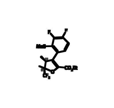 CCOC(=O)C1=C(c2ccc(F)c(F)c2SC)[C@H](C)[C@](C)(C(F)(F)F)O1